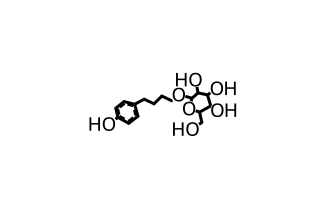 OCC1OC(OCCCCc2ccc(O)cc2)C(O)C(O)C1O